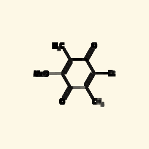 CCC1=C(C)C(=O)C(OC)=C(C)C1=O